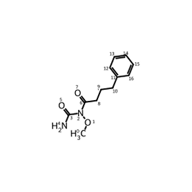 CON(C(N)=O)C(=O)C[CH]Cc1ccccc1